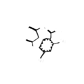 CC(=O)CC(=O)O.Nc1ccc(C(=O)O)c(O)c1